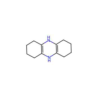 C1CCC2=C(C1)NC1=C(CCCC1)N2